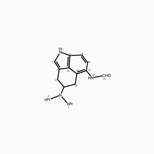 CCCN(CCC)C1Cc2c[nH]c3ccc(NC=O)c(c23)C1